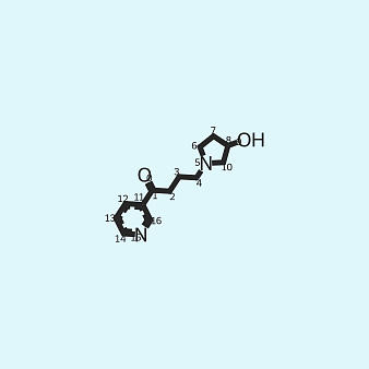 O=C(CCCN1CCC(O)C1)c1cccnc1